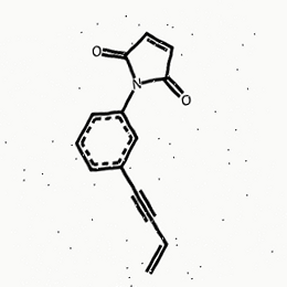 C=CC#Cc1cccc(N2C(=O)C=CC2=O)c1